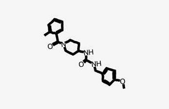 COc1ccc(CNC(=O)NC2CCN(C(=O)c3ccccc3C)CC2)cc1